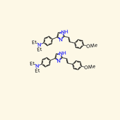 CCN(CC)c1ccc(-c2c[nH]c(C=Cc3ccc(OC)cc3)n2)cc1.CCN(CC)c1ccc(-c2c[nH]c(C=Cc3ccc(OC)cc3)n2)cc1